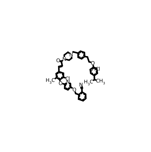 Cc1cc(C=CC(=O)N2CCN(Cc3ccc(CCOc4ccc(C(C)C)cc4)cc3)CC2)cc(Cl)c1Oc1ccc(OCc2ccccc2C#N)cn1.Cl